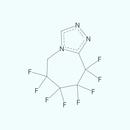 FC1(F)Cn2cnnc2C(F)(F)C(F)(F)C1(F)F